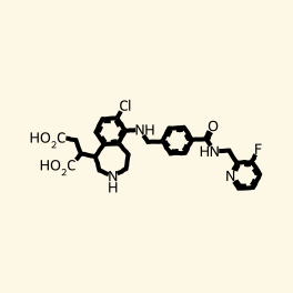 O=C(O)CC(C(=O)O)C1CNCCc2c1ccc(Cl)c2NCc1ccc(C(=O)NCc2ncccc2F)cc1